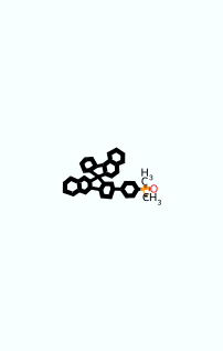 CP(C)(=O)c1ccc(-c2ccc3c(c2)C2(c4cc5ccccc5cc4-3)c3ccccc3-c3c2ccc2ccccc32)cc1